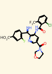 N=C(c1ccc(C(=O)O)cc1F)c1ncc(C(=O)N2CCOC2)cc1NC(=O)c1c(Cl)cccc1C(F)(F)F